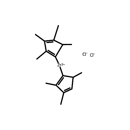 CC1=CC(C)[C]([Zr+2][C]2=C(C)C(C)=C(C)C2C)=C1C.[Cl-].[Cl-]